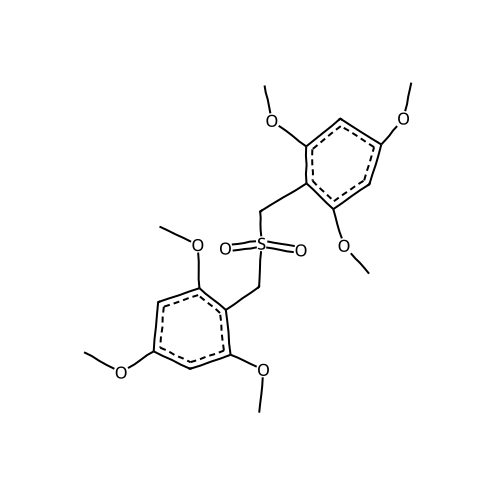 COc1cc(OC)c(CS(=O)(=O)Cc2c(OC)cc(OC)cc2OC)c(OC)c1